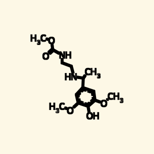 COC(=O)NCCNC(C)c1cc(OC)c(O)c(OC)c1